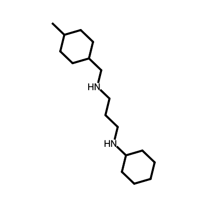 CC1CCC(CNCCCNC2CCCCC2)CC1